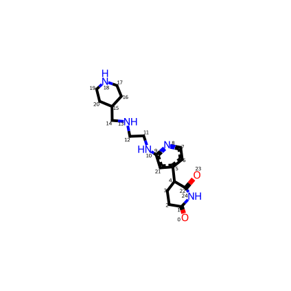 O=C1CCC(c2ccnc(NCCNCC3CCNCC3)c2)C(=O)N1